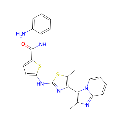 Cc1nc2ccccn2c1-c1nc(Nc2ccc(C(=O)Nc3ccccc3N)s2)sc1C